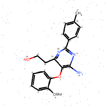 COc1ccccc1Oc1c(N)nc(-c2ccc(C)cc2)nc1CCO